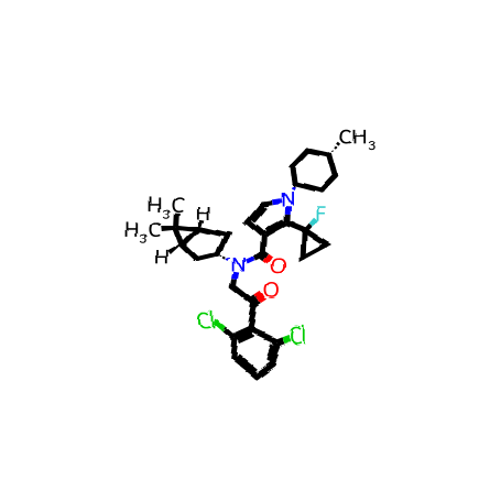 CC1(C)[C@@H]2C[C@H](N(CC(=O)c3c(Cl)cccc3Cl)C(=O)c3ccn([C@H]4CC[C@@H](C)CC4)c3C3(F)CC3)C[C@@H]21